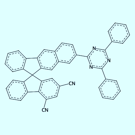 N#Cc1cc(C#N)c2c(c1)C1(c3ccccc3-c3cc4ccc(-c5nc(-c6ccccc6)nc(-c6ccccc6)n5)cc4cc31)c1ccccc1-2